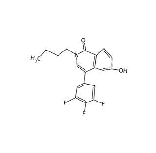 CCCCn1cc(-c2cc(F)c(F)c(F)c2)c2cc(O)ccc2c1=O